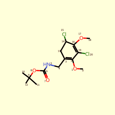 COC1=C(CNC(=O)OC(C)(C)C)[CH]C(Cl)C(OC)=C1Cl